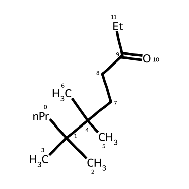 CCCC(C)(C)C(C)(C)CCC(=O)CC